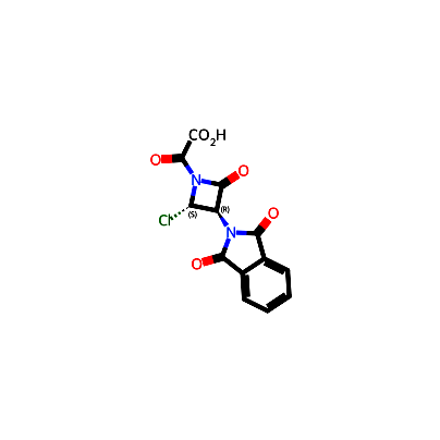 O=C(O)C(=O)N1C(=O)[C@@H](N2C(=O)c3ccccc3C2=O)[C@@H]1Cl